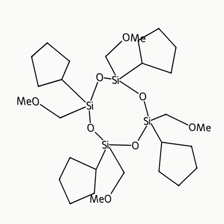 COC[Si]1(C2CCCC2)O[Si](COC)(C2CCCC2)O[Si](COC)(C2CCCC2)O[Si](COC)(C2CCCC2)O1